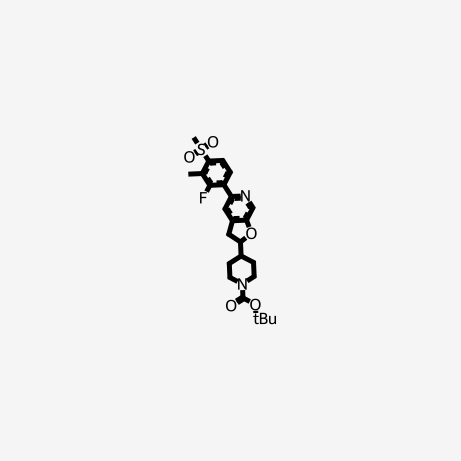 Cc1c(S(C)(=O)=O)ccc(-c2cc3c(cn2)OC(C2CCN(C(=O)OC(C)(C)C)CC2)C3)c1F